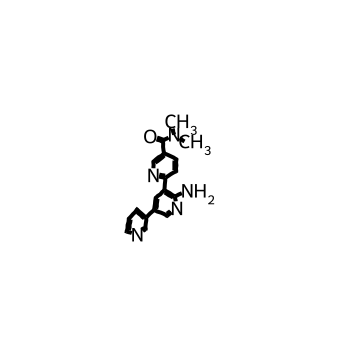 CN(C)C(=O)c1ccc(-c2cc(-c3cccnc3)cnc2N)nc1